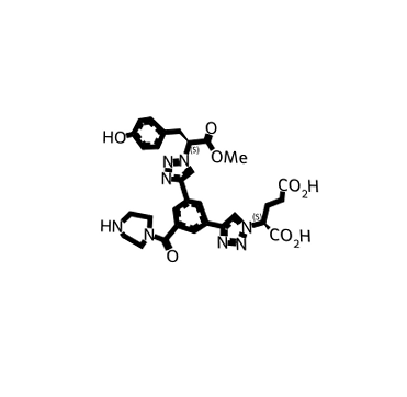 COC(=O)[C@H](Cc1ccc(O)cc1)n1cc(-c2cc(C(=O)N3CCNCC3)cc(-c3cn([C@@H](CCC(=O)O)C(=O)O)nn3)c2)nn1